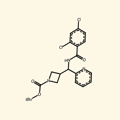 CC(C)(C)OC(=O)N1CC(C(NC(=O)c2ccc(Cl)cc2Cl)c2ccccn2)C1